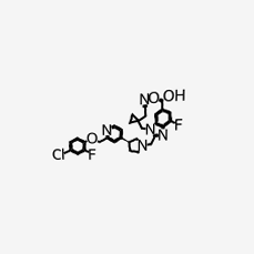 N#CCC1(Cn2c(CN3CC[C@@H](c4ccnc(COc5ccc(Cl)cc5F)c4)C3)nc3c(F)cc(C(=O)O)cc32)CC1